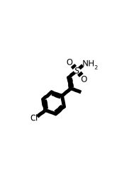 CC(=CS(N)(=O)=O)c1ccc(Cl)cc1